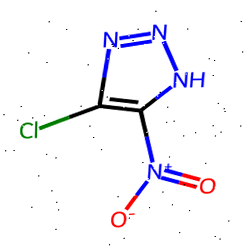 O=[N+]([O-])c1[nH]nnc1Cl